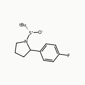 CC(C)(C)[S@+]([O-])N1CCCC1c1ccc(F)cc1